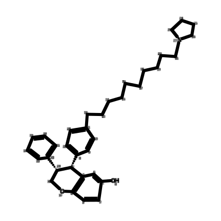 Oc1ccc2c(c1)[C@@H](c1ccc(CCCCCCCCCCN3CCCC3)cc1)[C@@H](c1ccccc1)CO2